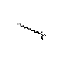 C=CC(=O)N(C)CCCCCCCCCCCO